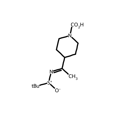 C/C(=N\[S+]([O-])C(C)(C)C)C1CCN(C(=O)O)CC1